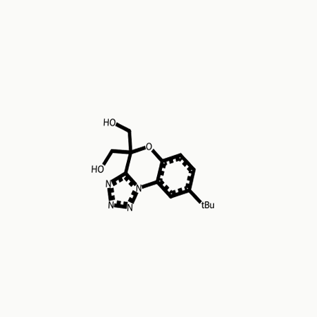 CC(C)(C)c1ccc2c(c1)-n1nnnc1C(CO)(CO)O2